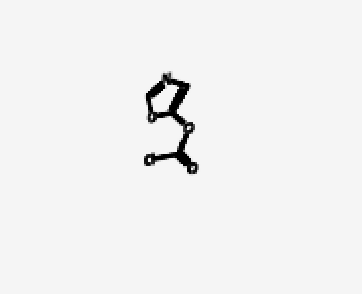 O=C(Cl)Oc1cnco1